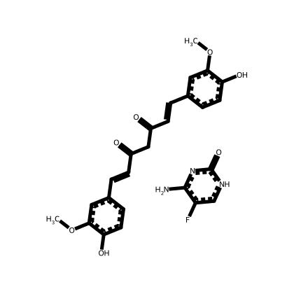 COc1cc(/C=C/C(=O)CC(=O)/C=C/c2ccc(O)c(OC)c2)ccc1O.Nc1nc(=O)[nH]cc1F